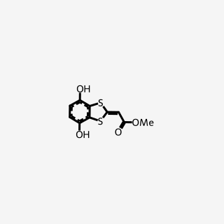 COC(=O)C=C1Sc2c(O)ccc(O)c2S1